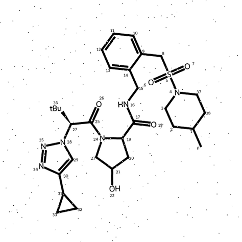 CC1CCN(S(=O)(=O)Cc2ccccc2CNC(=O)C2CC(O)CN2C(=O)[C@@H](n2cc(C3CC3)nn2)C(C)(C)C)CC1